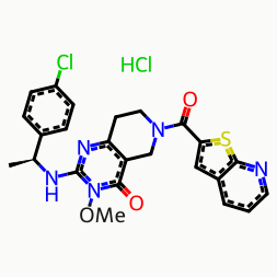 COn1c(N[C@@H](C)c2ccc(Cl)cc2)nc2c(c1=O)CN(C(=O)c1cc3cccnc3s1)CC2.Cl